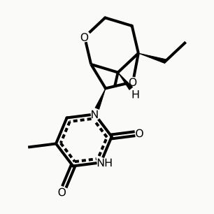 CC[C@@]12CCOC([C@H](n3cc(C)c(=O)[nH]c3=O)O1)[C@H]2C